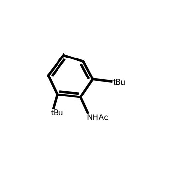 CC(=O)Nc1c(C(C)(C)C)c[c]cc1C(C)(C)C